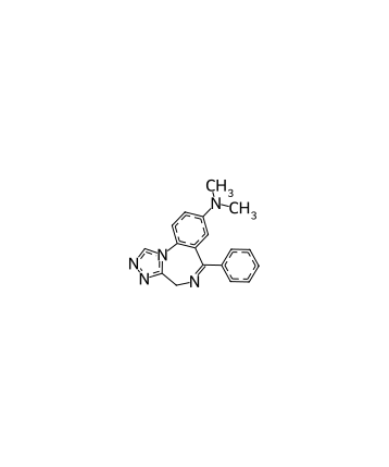 CN(C)c1ccc2c(c1)C(c1ccccc1)=NCc1nncn1-2